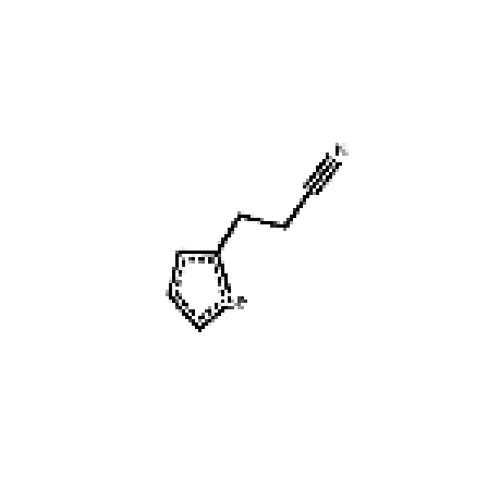 N#CCCc1ccc[se]1